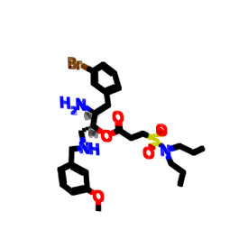 CCCN(CCC)S(=O)(=O)CCC(=O)O[C@H](CNCc1cccc(OC)c1)[C@@H](N)Cc1cccc(Br)c1